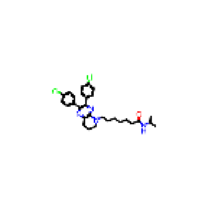 CC(C)NC(=O)CCCCCCN1CCCc2nc(-c3ccc(Cl)cc3)c(-c3ccc(Cl)cc3)nc21